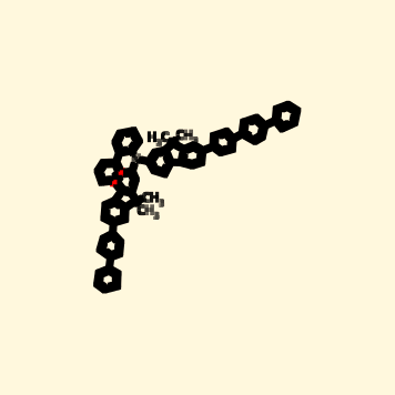 CC1(C)c2cc(-c3ccc(-c4ccccc4)cc3)ccc2-c2ccc(N(c3ccc4c(c3)C(C)(C)c3cc(-c5ccc(-c6ccc(-c7ccccc7)cc6)cc5)ccc3-4)c3ccccc3-c3ccccc3)cc21